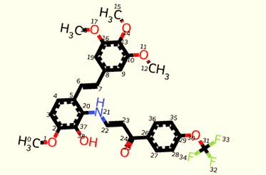 COc1ccc(C=Cc2cc(OC)c(OC)c(OC)c2)c(NC=CC(=O)c2ccc(OC(F)(F)F)cc2)c1O